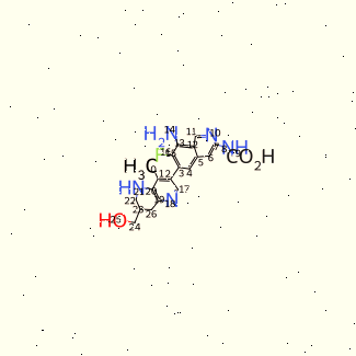 Cc1c(-c2cc3cc(NC(=O)O)ncc3c(N)c2F)cnc2c1NCC(CO)C2